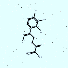 C=C(C)C(=N)CC/C(=C\C)c1ccc(F)c(F)c1F